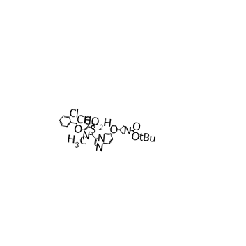 C[C@@H](OC1=C(C(=O)O)SC(c2cnc3ccc(OC4CN(C(=O)OC(C)(C)C)C4)cn23)N1C)c1ccccc1Cl